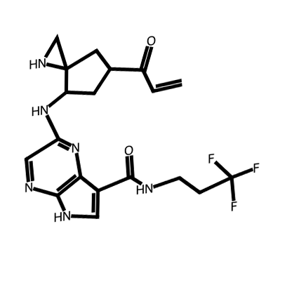 C=CC(=O)C1CC(Nc2cnc3[nH]cc(C(=O)NCCC(F)(F)F)c3n2)C2(CN2)C1